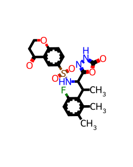 Cc1ccc(F)c(C(C)C(NS(=O)(=O)c2ccc3c(c2)C(=O)CCO3)c2n[nH]c(=O)o2)c1C